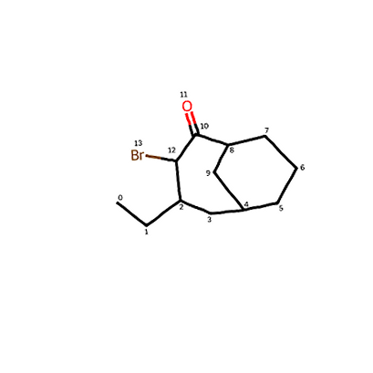 CCC1CC2CCCC(C2)C(=O)C1Br